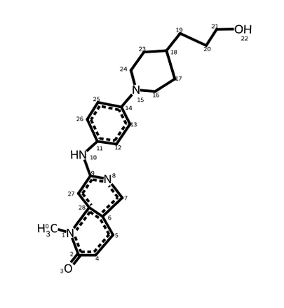 Cn1c(=O)ccc2cnc(Nc3ccc(N4CCC(CCCO)CC4)cc3)cc21